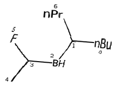 CCCCC(BC(C)F)CCC